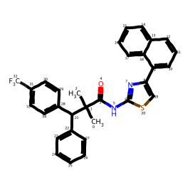 CC(C)(C(=O)Nc1nc(-c2cccc3ccccc23)cs1)C(c1ccccc1)c1ccc(C(F)(F)F)cc1